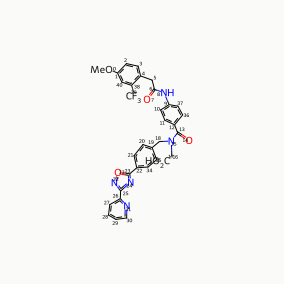 COc1ccc(CC(=O)Nc2ccc(C(=O)N(CC(=O)O)Cc3ccc(-c4nc(-c5ccccn5)no4)cc3)cc2)c(C(F)(F)F)c1